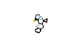 S=C1CC=NC1CC(Cc1ccccc1Cl)C1(Cl)CC1